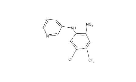 O=[N+]([O-])c1cc(C(F)(F)F)c(Cl)cc1Nc1cc[c]nc1